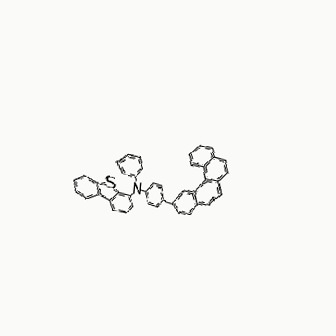 c1ccc(N(c2ccc(-c3ccc4ccc5ccc6ccccc6c5c4c3)cc2)c2cccc3c2sc2ccccc23)cc1